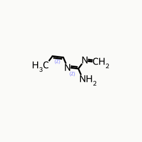 C=N/C(N)=N\C=C/C